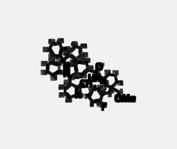 COCC1(Cc2ccccc2F)CCCN(NC(=O)c2ccc3c(c2)c(-c2cccnc2C)nn3C(c2ccccc2)(c2ccccc2)c2ccccc2)C1